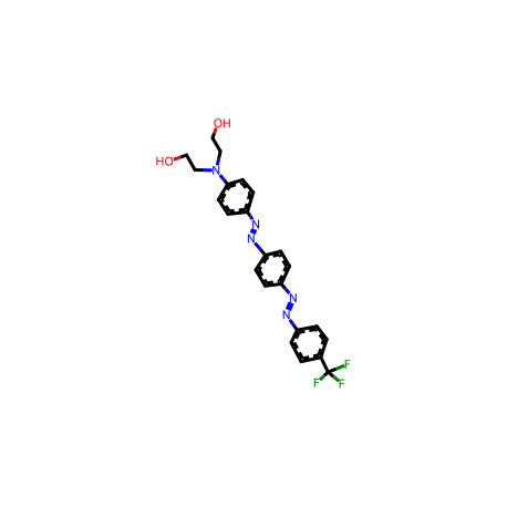 OCCN(CCO)c1ccc(N=Nc2ccc(N=Nc3ccc(C(F)(F)F)cc3)cc2)cc1